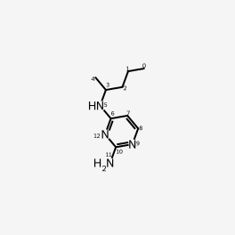 CCCC(C)Nc1ccnc(N)n1